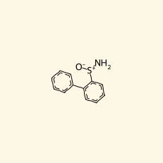 N[S+]([O-])c1ccccc1-c1ccccc1